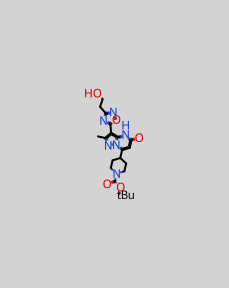 Cc1nn2c(C3CCN(C(=O)OC(C)(C)C)CC3)cc(=O)[nH]c2c1-c1nc(CCO)no1